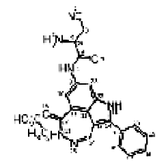 CC(=O)O.N#CC[C@H](N)C(=O)Nc1cc2c3c(c(-c4ccccc4)[nH]c3c1)C=NNC2=O